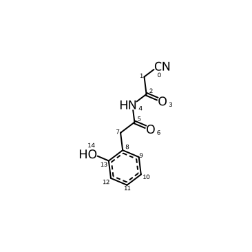 N#CCC(=O)NC(=O)Cc1ccccc1O